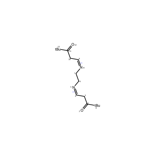 CC(C)(C)C(=O)C/C=N\CC/N=C\CC(=O)C(C)(C)C